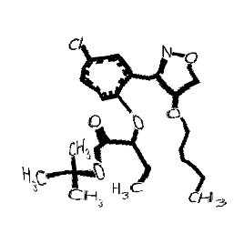 CCCCOC1CON=C1c1cc(Cl)ccc1OC(CC)C(=O)OC(C)(C)C